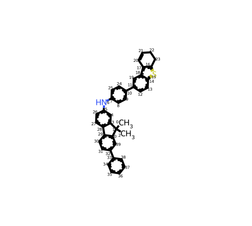 CC1(C)c2cc(Nc3ccc(-c4ccc5sc6c(c5c4)C=CCC6)cc3)ccc2-c2ccc(-c3ccccc3)cc21